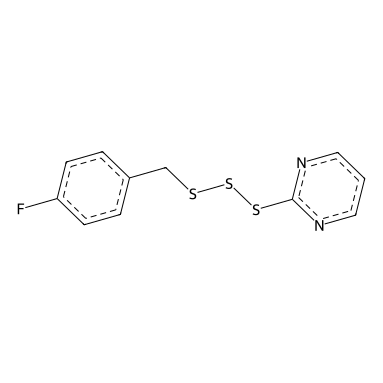 Fc1ccc(CSSSc2ncccn2)cc1